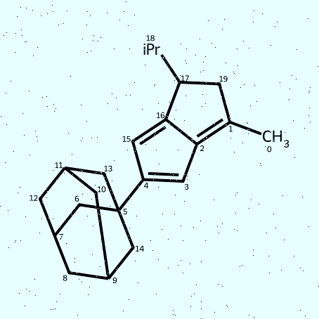 CC1=C2C=C(C34CC5CC(CC(C5)C3)C4)C=C2C(C(C)C)C1